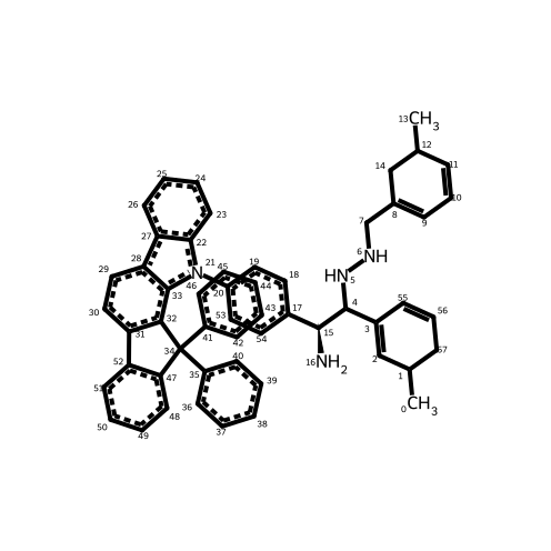 CC1C=C(C(NNCC2=CC=CC(C)C2)[C@@H](N)c2ccc(-n3c4ccccc4c4ccc5c(c43)C(c3ccccc3)(c3ccccc3)c3ccccc3-5)cc2)C=CC1